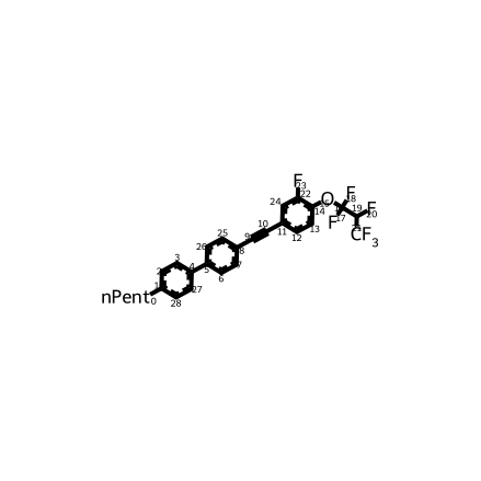 CCCCCc1ccc(-c2ccc(C#Cc3ccc(OC(F)(F)C(F)C(F)(F)F)c(F)c3)cc2)cc1